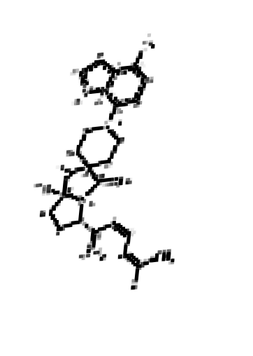 C=C(/C=C\C=C(/C)F)[C@@H]1CC[C@H]2OC3(CCN(c4ccc(C#N)c5ccnn45)CC3)C(=O)N21